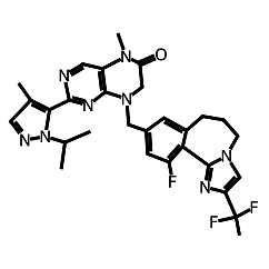 Cc1cnn(C(C)C)c1-c1ncc2c(n1)N(Cc1cc(F)c3c(c1)CCCn1cc(C(C)(F)F)nc1-3)CC(=O)N2C